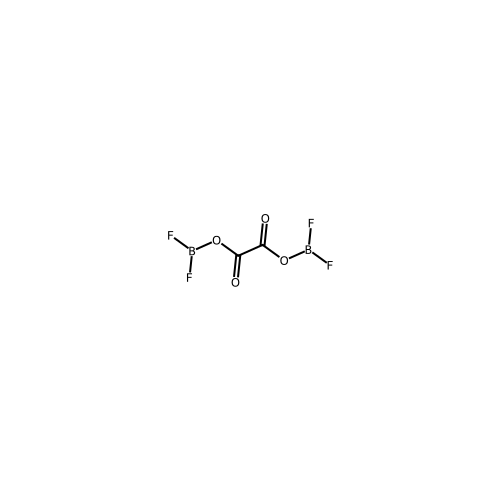 O=C(OB(F)F)C(=O)OB(F)F